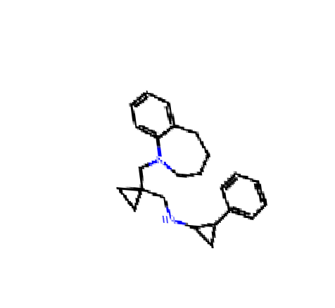 c1ccc(C2CC2NCC2(CN3CCCCc4ccccc43)CC2)cc1